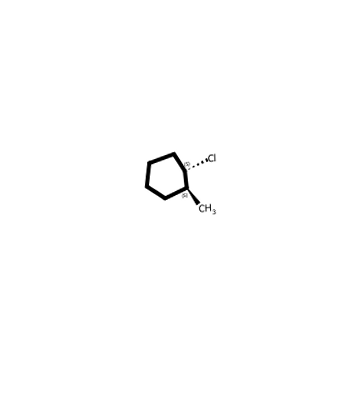 C[C@H]1CCCC[C@@H]1Cl